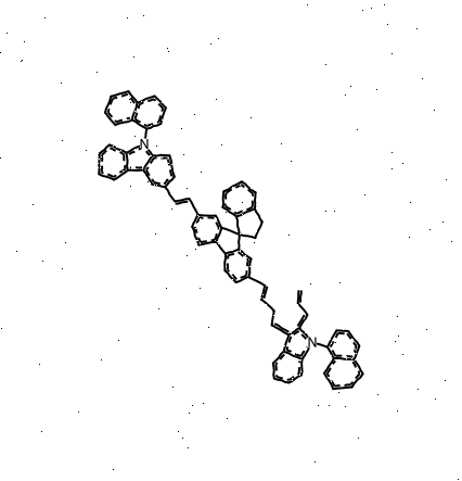 C=C/C=c1\c(=C/C/C=C/c2ccc3c(c2)C2(CCc4ccccc42)c2cc(/C=C/c4ccc5c(c4)c4ccccc4n5-c4cccc5ccccc45)ccc2-3)c2ccccc2n1-c1cccc2ccccc12